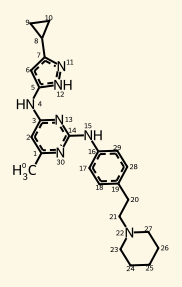 Cc1cc(Nc2cc(C3CC3)n[nH]2)nc(Nc2ccc(CCN3CCCCC3)cc2)n1